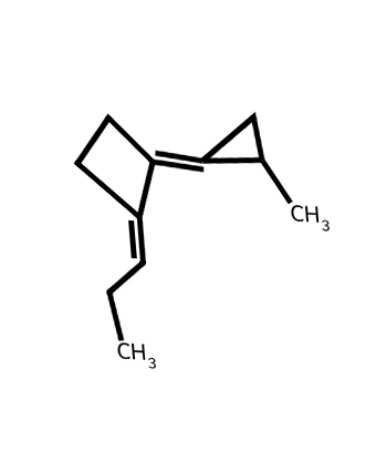 CCC=C1CCC1=C1CC1C